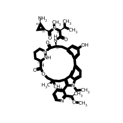 CCn1c(-c2cccnc2[C@H](C)OC)c2c3cc(ccc31)-c1cc(O)cc(c1)C[C@H](NC(=O)[C@H](C(C)C)N(C)C(=O)[C@H]1C[C@@H]1N)C(=O)N1CCC[C@H](N1)C(=O)OCC(C)(C)C2